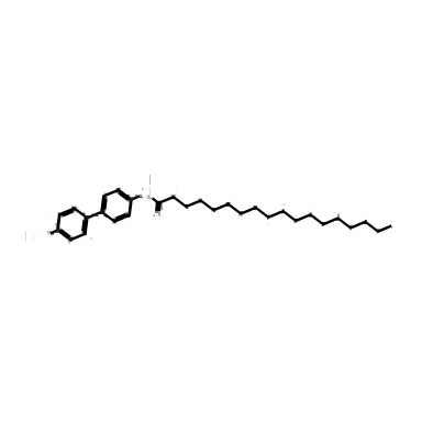 CCCCCCCCCCCCCCCCCC(=O)Nc1ccc(-c2ccc(O)cc2)cc1